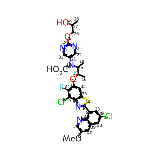 COc1cnc2c(-c3nc4c(Cl)c(F)c(OC(C)C(C)N(C(=O)O)c5cnc(OCC(C)O)nc5)cc4s3)cc(Cl)cc2c1